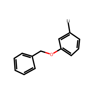 [Li][c]1cccc(OCc2ccccc2)c1